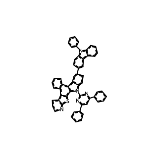 c1ccc(-c2cc(-c3ccccc3)nc(-n3c4ccc(-c5ccc6c(c5)c5ccccc5n6-c5ccccc5)cc4c4c5ccccc5c5c6cccnc6sc5c43)n2)cc1